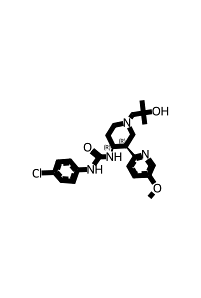 COc1ccc([C@@H]2CN(CC(C)(C)O)CC[C@H]2NC(=O)Nc2ccc(Cl)cc2)nc1